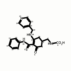 O=C(O)NCC1CC(=O)C(C(=S)Nc2ccccc2)=C(NCc2ccncc2)C1